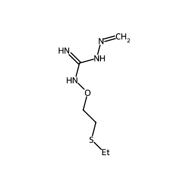 C=NNC(=N)NOCCSCC